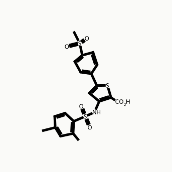 Cc1ccc(S(=O)(=O)Nc2cc(-c3ccc(S(C)(=O)=O)cc3)sc2C(=O)O)c(C)c1